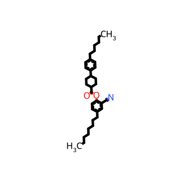 CCCCCCCCc1ccc(OC(=O)C2CCC(c3ccc(CCCCCC)cc3)CC2)c(C#N)c1